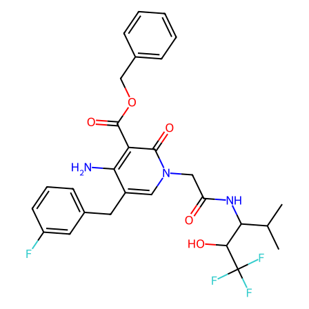 CC(C)C(NC(=O)Cn1cc(Cc2cccc(F)c2)c(N)c(C(=O)OCc2ccccc2)c1=O)C(O)C(F)(F)F